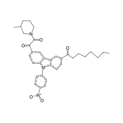 CCCCCCCC(=O)c1ccc2c(c1)c1cc(C(=O)C(=O)N3CCCC(C)C3)ccc1n2-c1ccc([N+](=O)[O-])cc1